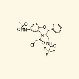 CS(=O)(=O)Nc1ccc2c(c1)N(C(=O)CCl)C(CNC(=O)C(F)(F)F)C(c1ccccc1)O2